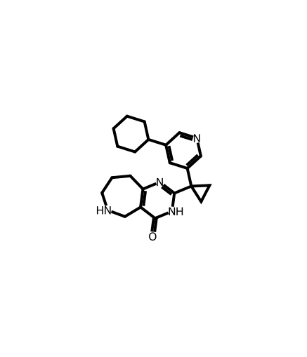 O=c1[nH]c(C2(c3cncc(C4CCCCC4)c3)CC2)nc2c1CNCCC2